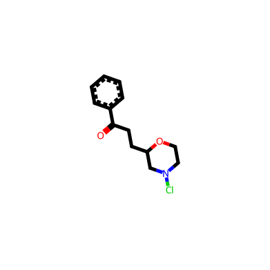 O=C(CCC1CN(Cl)CCO1)c1ccccc1